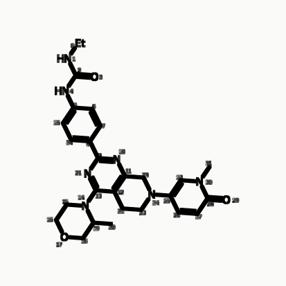 CCNC(=O)Nc1ccc(-c2nc3c(c(N4CCOCC4C)n2)CCN(c2ccc(=O)n(C)c2)C3)cc1